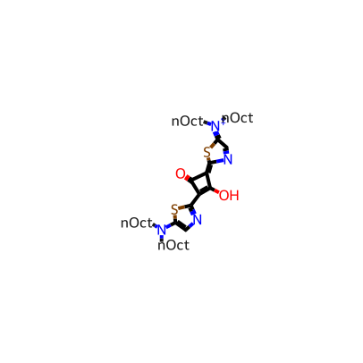 CCCCCCCCN(CCCCCCCC)c1cnc(C2=C(O)/C(=C3\N=CC(=[N+](CCCCCCCC)CCCCCCCC)S3)C2=O)s1